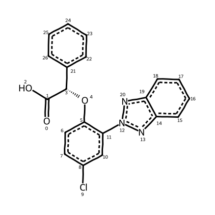 O=C(O)[C@@H](Oc1ccc(Cl)cc1-n1nc2ccccc2n1)c1ccccc1